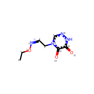 CCO/N=C\Cn1[c]n[nH]c(=O)c1=O